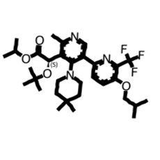 Cc1ncc(-c2ccc(OCC(C)C)c(C(F)(F)F)n2)c(N2CCC(C)(C)CC2)c1[C@H](OC(C)(C)C)C(=O)OC(C)C